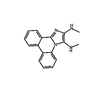 CNc1nc2c3ccccc3c3ccccc3n2c1NC